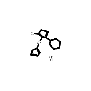 CCC1=[C]([Zr+2][C]2=CC=CC2)C(C2CCCCC2)=CC1.[Cl-].[Cl-]